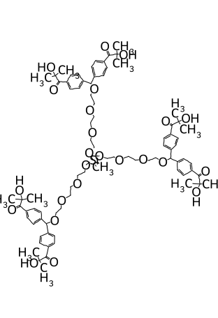 CC(C)(O)C(=O)c1ccc(C(OCCOCCOCCO[Si](C)(OCCOCCOCCOC(c2ccc(C(=O)C(C)(C)O)cc2)c2ccc(C(=O)C(C)(C)O)cc2)OCCOCCOCCOC(c2ccc(C(=O)C(C)(C)O)cc2)c2ccc(C(=O)C(C)(C)O)cc2)c2ccc(C(=O)C(C)(C)O)cc2)cc1